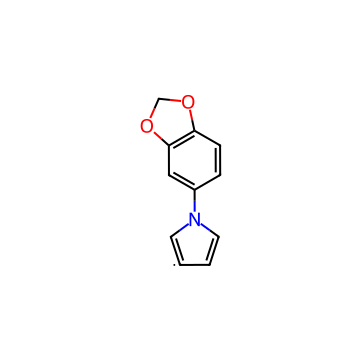 [c]1ccn(-c2ccc3c(c2)OCO3)c1